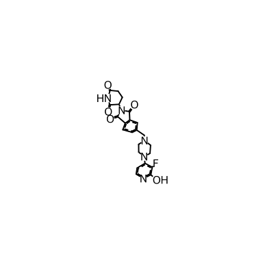 O=C1CCC(N2C(=O)c3ccc(CN4CCN(c5ccnc(O)c5F)CC4)cc3C2=O)C(=O)N1